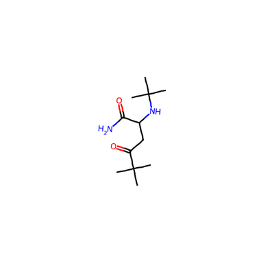 CC(C)(C)NC(CC(=O)C(C)(C)C)C(N)=O